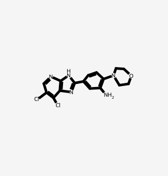 Nc1cc(-c2nc3c(Cl)c(Cl)cnc3[nH]2)ccc1N1CCOCC1